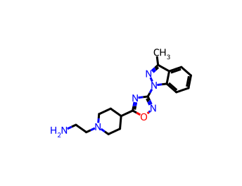 Cc1nn(-c2noc(C3CCN(CCN)CC3)n2)c2ccccc12